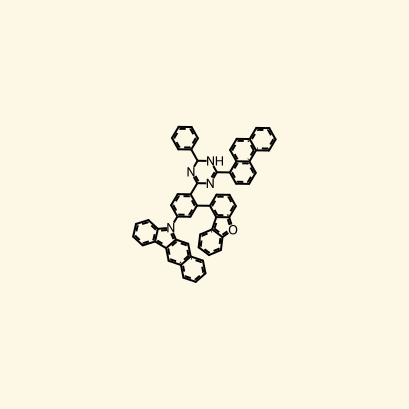 c1ccc(C2N=C(c3ccc(-n4c5ccccc5c5cc6ccccc6cc54)cc3-c3cccc4oc5ccccc5c34)N=C(c3cccc4c3ccc3ccccc34)N2)cc1